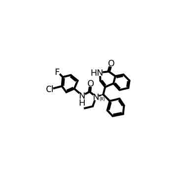 CCN(C(=O)Nc1ccc(F)c(Cl)c1)[C@H](c1ccccc1)c1c[nH]c(=O)c2ccccc12